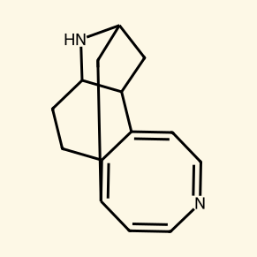 C1=CC2=C3CCC4NC(C2)CC4C3=CC=N1